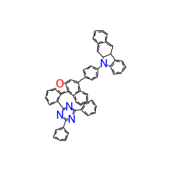 C1=c2ccccc2=CC2C1c1ccccc1N2c1ccc(-c2cc3oc4cccc(-c5nc(-c6ccccc6)nc(-c6ccccc6)n5)c4c3c3ccccc23)cc1